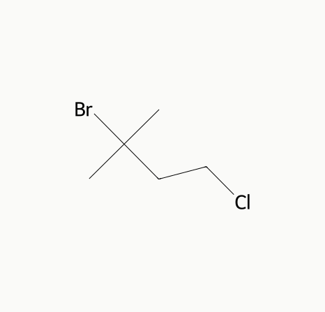 CC(C)(Br)CCCl